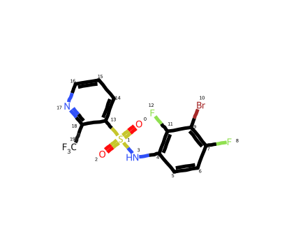 O=S(=O)(Nc1ccc(F)c(Br)c1F)c1cccnc1C(F)(F)F